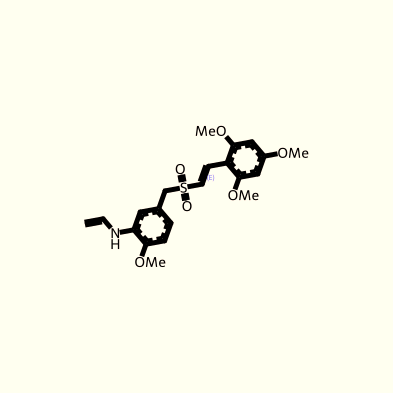 C=CNc1cc(CS(=O)(=O)/C=C/c2c(OC)cc(OC)cc2OC)ccc1OC